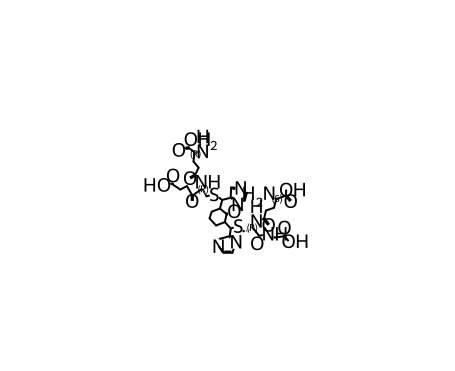 N[C@H](CCC(=O)N[C@@H](CSC(c1cnccn1)C1CCCC(C(SC[C@H](NC(=O)CC[C@H](N)C(=O)O)C(=O)NCC(=O)O)c2cnccn2)C1=O)C(=O)CCC(=O)O)C(=O)O